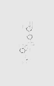 Cc1ncc(-c2ccc(C3(CC(=O)Nc4cccc(CCC(=O)O)c4C)CCC3)cc2)cc1F